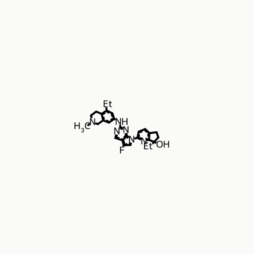 CCc1cc(Nc2ncc3c(F)cn(-c4ccc5c(n4)C(O)(CC)CC5)c3n2)cc2c1CCN(C)C2